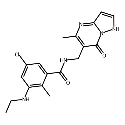 CCNc1cc(Cl)cc(C(=O)NCc2c(C)nc3cc[nH]n3c2=O)c1C